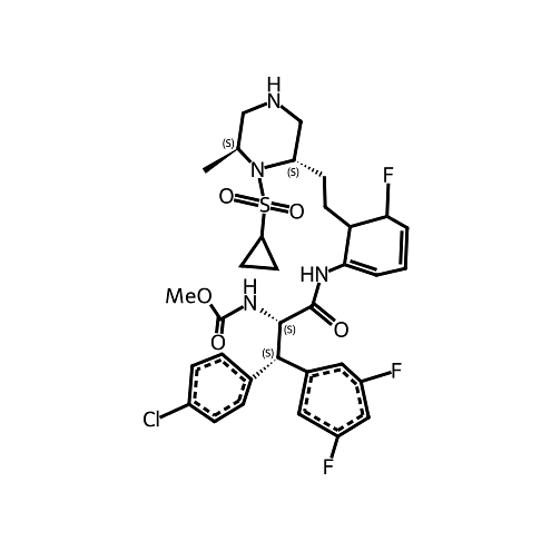 COC(=O)N[C@H](C(=O)NC1=CC=CC(F)C1CC[C@H]1CNC[C@H](C)N1S(=O)(=O)C1CC1)[C@@H](c1ccc(Cl)cc1)c1cc(F)cc(F)c1